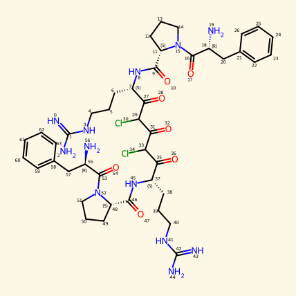 N=C(N)NCCC[C@H](NC(=O)[C@@H]1CCCN1C(=O)[C@H](N)Cc1ccccc1)C(=O)C(Cl)C(=O)C(Cl)C(=O)[C@H](CCCNC(=N)N)NC(=O)[C@@H]1CCCN1C(=O)[C@H](N)Cc1ccccc1